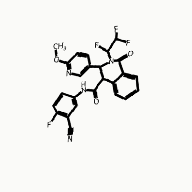 COc1ccc(C2C(C(=O)Nc3ccc(F)c(C#N)c3)c3ccccc3C(=O)N2C(F)C(F)F)cn1